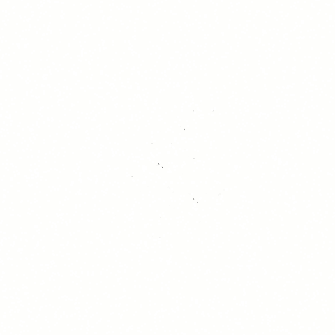 c1ccc(-c2cccc([Si]3(c4ccccc4)c4ccccc4-n4c5ccccc5c5cc(-n6c7ccccc7c7ccc([Si](c8ccccc8)(c8ccccc8)c8ccccc8)cc76)cc3c54)c2)cc1